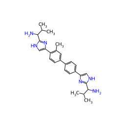 Cc1cc(-c2ccc(-c3c[nH]c(C(N)C(C)C)n3)cc2)ccc1-c1c[nH]c(C(N)C(C)C)n1